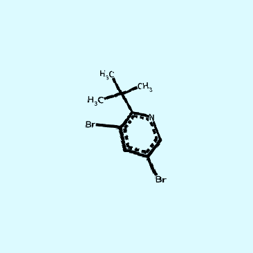 CC(C)(C)c1ncc(Br)cc1Br